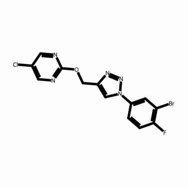 Fc1ccc(-n2cc(COc3ncc(Cl)cn3)nn2)cc1Br